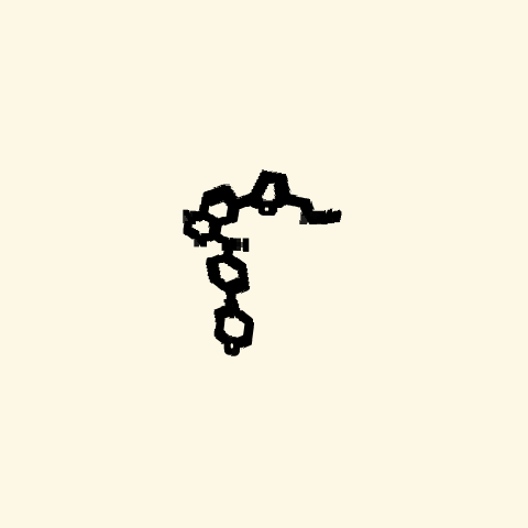 CNCc1ccc(-c2ccc3ncnc(Nc4ccc(N5CCOCC5)cc4)c3c2)o1